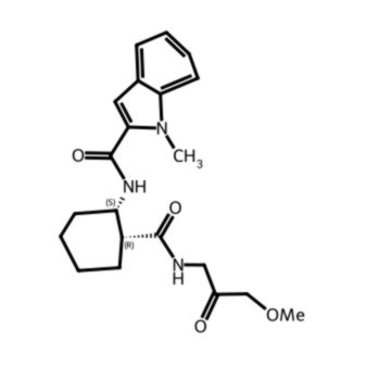 COCC(=O)CNC(=O)[C@@H]1CCCC[C@@H]1NC(=O)c1cc2ccccc2n1C